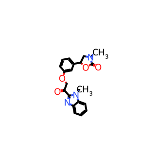 CN1CC(c2cccc(OCC(=O)c3nc4ccccc4n3C)c2)OC1=O